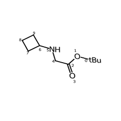 CC(C)(C)OC(=O)CNC1CCC1